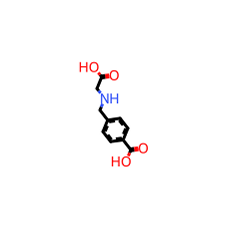 O=C(O)CNCc1ccc(C(=O)O)cc1